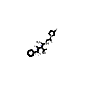 CC(=N)C(=C(/N)NCC(=O)N1CCC(F)C1)/C(Cl)=C(\N)c1ccccc1